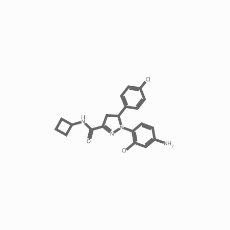 Nc1ccc(N2N=C(C(=O)NC3CCC3)CC2c2ccc(Cl)cc2)c(Cl)c1